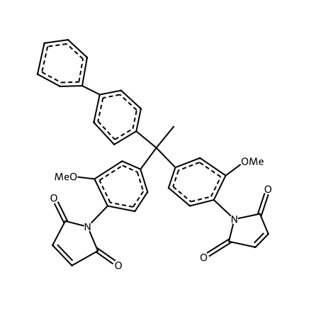 COc1cc(C(C)(c2ccc(-c3ccccc3)cc2)c2ccc(N3C(=O)C=CC3=O)c(OC)c2)ccc1N1C(=O)C=CC1=O